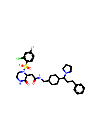 O=C(CC1C(=O)NCCN1S(=O)(=O)c1ccc(Cl)cc1Cl)NCC1CCC(C(CCc2ccccc2)N2CCCC2)CC1